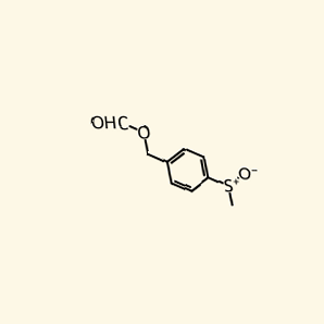 C[S+]([O-])c1ccc(COC=O)cc1